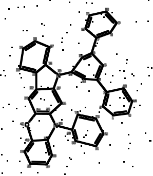 c1ccc(-c2cc(-c3ccccc3)cc(-n3c4ccccc4c4cc5c(cc43)N(c3ccccc3)c3ccccc3O5)c2)cc1